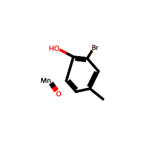 Cc1ccc(O)c(Br)c1.[O]=[Mn]